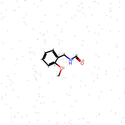 COc1ccccc1CNC=O